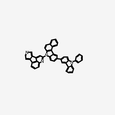 c1ccc(-n2c3ccccc3c3cc(-c4ccc5c(c4)c4c6ccccc6ccc4n5-c4cc5c6c(cccc6n4)-c4ccncc4-5)ccc32)cc1